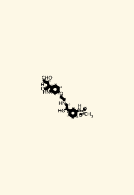 Cc1[nH]c2cc(OCCNC[C@H](O)c3cccc(NS(C)(=O)=O)c3)ccc2c1C=C[C]=O